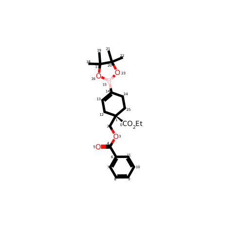 CCOC(=O)[C@@]1(COC(=O)c2ccccc2)CC=C(B2OC(C)(C)C(C)(C)O2)CC1